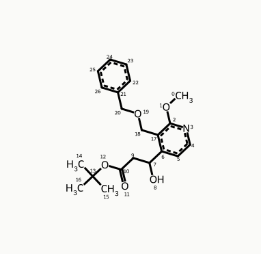 COc1nccc(C(O)CC(=O)OC(C)(C)C)c1COCc1ccccc1